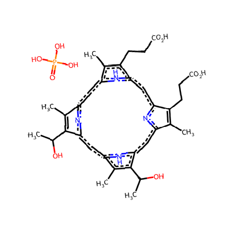 CC1=C(CCC(=O)O)c2cc3[nH]c(cc4nc(cc5[nH]c(cc1n2)c(C(C)O)c5C)C(C(C)O)=C4C)c(C)c3CCC(=O)O.O=P(O)(O)O